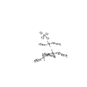 CCCCCCCCC[N+](C)(C)CCCCC.CCCCCCCCC[N+](C)(C)CCCCC.CCCCCCCCC[N+](C)(C)CCCCC.O=P([O-])([O-])[O-]